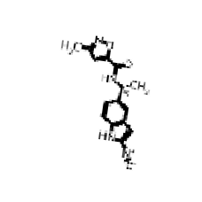 [C-]#[N+]c1cc2cc([C@@H](C)NC(=O)c3cc(C)no3)ccc2[nH]1